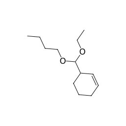 CCCCOC(OCC)C1C=CCCC1